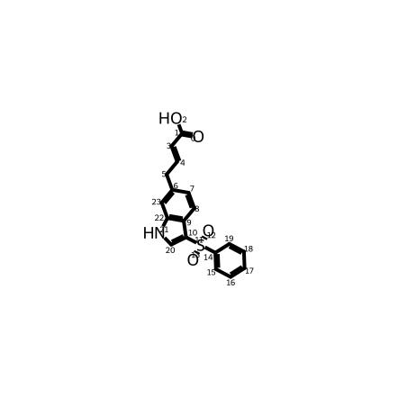 O=C(O)C=CCc1ccc2c(S(=O)(=O)c3ccccc3)c[nH]c2c1